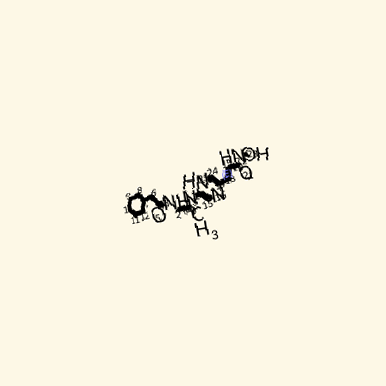 C[C@H](CNC(=O)CC1CCCCC1)Nc1cnc(/C=C/C(=O)NO)cn1